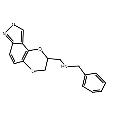 c1ccc(CNCC2COc3ccc4nocc4c3O2)cc1